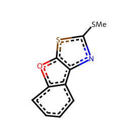 CSc1nc2c(oc3ccccc32)s1